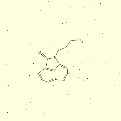 CCCCN1C(=O)c2cccc3cccc1c23